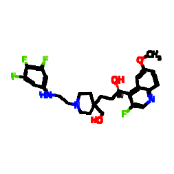 COc1ccc2ncc(F)c([C@@H](O)CCC3(CO)CCN(CCNc4cc(F)c(F)c(F)c4)CC3)c2c1